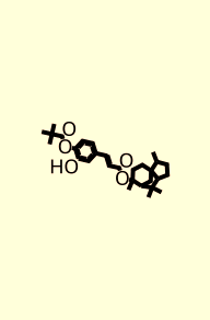 CC1CCC2C(C)(C)C3CC12CCC3(C)OC(=O)C=Cc1ccc(OC(=O)C(C)(C)C)c(O)c1